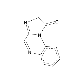 O=C1CN=C2C=Nc3ccccc3N12